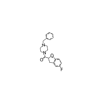 O=C(C1Cc2cc(F)ccc2O1)N1CCN(Cc2ccccc2)CC1